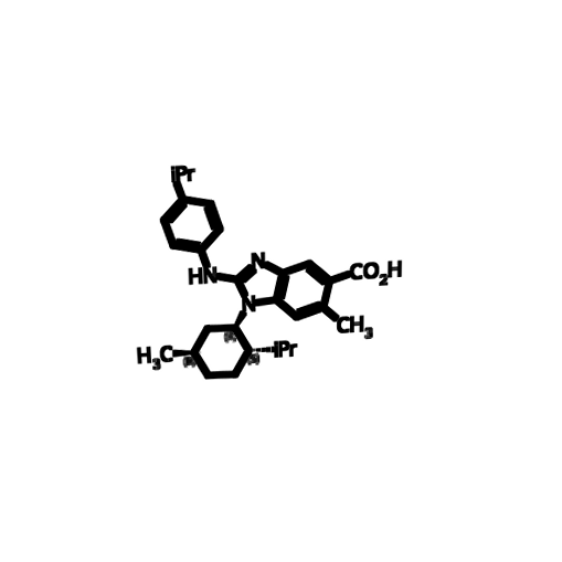 Cc1cc2c(cc1C(=O)O)nc(Nc1ccc(C(C)C)cc1)n2[C@@H]1C[C@H](C)CC[C@H]1C(C)C